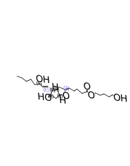 CCCCC[C@H](O)/C=C/[C@@H]1[C@H]2C/C(=C/CCCC(=O)OCCCCCO)O[C@@H]2C[C@H]1O